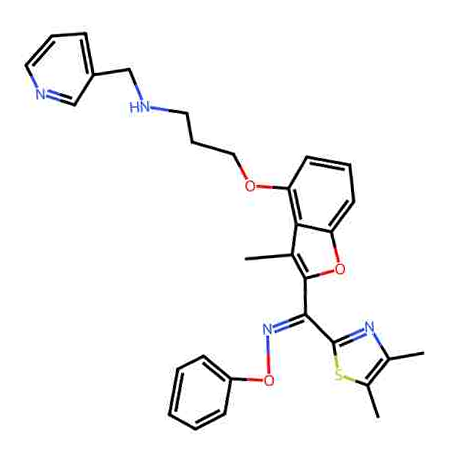 Cc1nc(C(=NOc2ccccc2)c2oc3cccc(OCCCNCc4cccnc4)c3c2C)sc1C